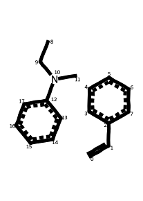 C=Cc1ccccc1.CCN(C)c1ccccc1